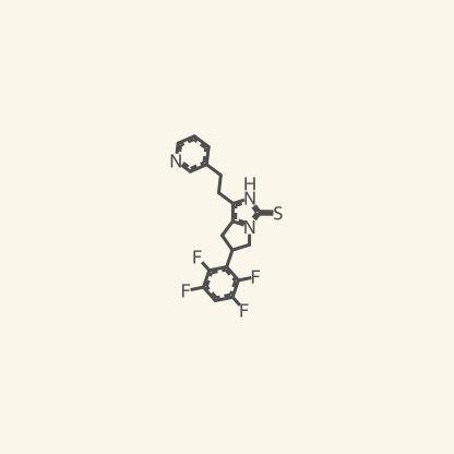 Fc1cc(F)c(F)c(C2Cc3c(CCc4cccnc4)[nH]c(=S)n3C2)c1F